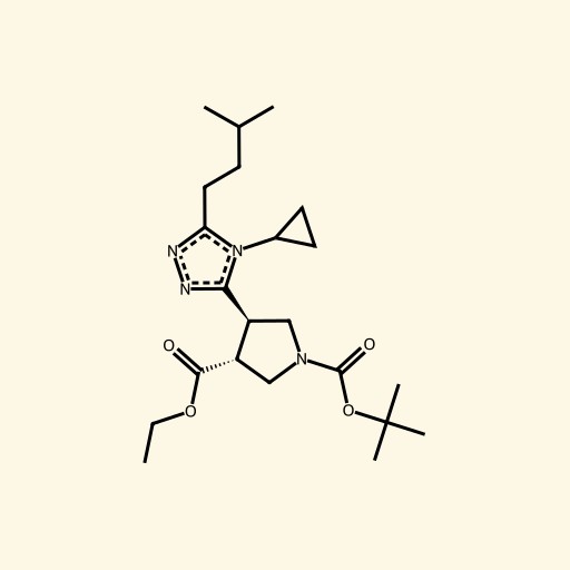 CCOC(=O)[C@H]1CN(C(=O)OC(C)(C)C)C[C@@H]1c1nnc(CCC(C)C)n1C1CC1